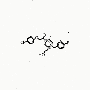 C[C@@H]1CN(Cc2ccc(F)cc2)[C@H](CCO)CN1C(=O)COc1ccc(Cl)cc1